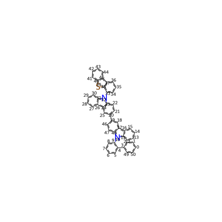 c1ccc(-c2ccccc2-n2c3ccccc3c3cc(-c4ccc5c(c4)c4ccccc4n5-c4cccc5c4sc4ccccc45)ccc32)cc1